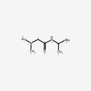 CC(=O)N(C)CC(=O)NC(C)C(C)(C)C